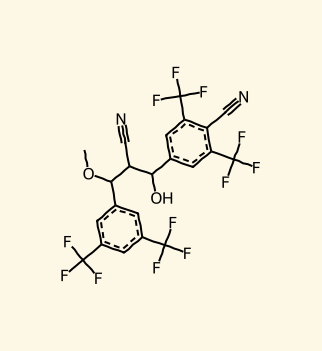 COC(c1cc(C(F)(F)F)cc(C(F)(F)F)c1)C(C#N)C(O)c1cc(C(F)(F)F)c(C#N)c(C(F)(F)F)c1